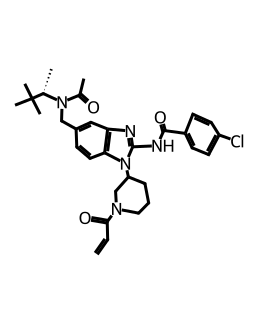 C=CC(=O)N1CCCC(n2c(NC(=O)c3ccc(Cl)cc3)nc3cc(CN(C(C)=O)[C@@H](C)C(C)(C)C)ccc32)C1